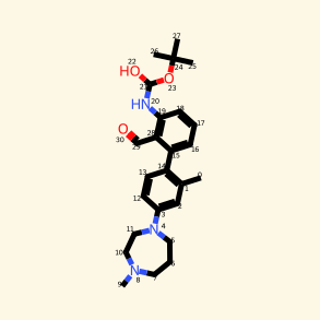 Cc1cc(N2CCCN(C)CC2)ccc1-c1cccc(NC(O)OC(C)(C)C)c1C=O